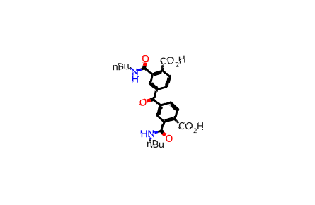 CCCCNC(=O)c1cc(C(=O)c2ccc(C(=O)O)c(C(=O)NCCCC)c2)ccc1C(=O)O